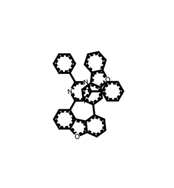 c1ccc(-c2nc(-c3ccccc3)nc(-c3cccc4oc5cccc(-c6ccc7c(c6)oc6ccccc67)c5c34)n2)cc1